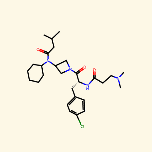 CC(C)CC(=O)N(C1CCCCC1)C1CN(C(=O)[C@@H](Cc2ccc(Cl)cc2)NC(=O)CCN(C)C)C1